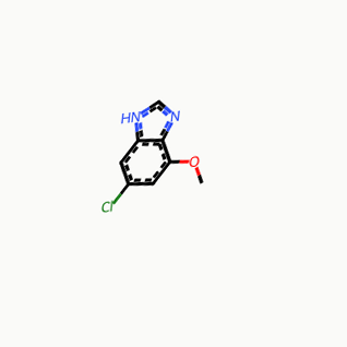 COc1cc(Cl)cc2[nH]cnc12